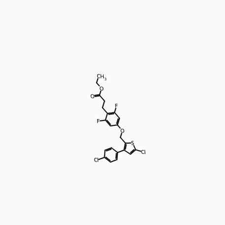 CCOC(=O)CCc1c(F)cc(OCc2sc(Cl)cc2-c2ccc(Cl)cc2)cc1F